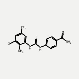 NC(=O)c1ccc(NC(=S)Nc2cc(C(F)(F)F)cc(Cl)c2N)cc1